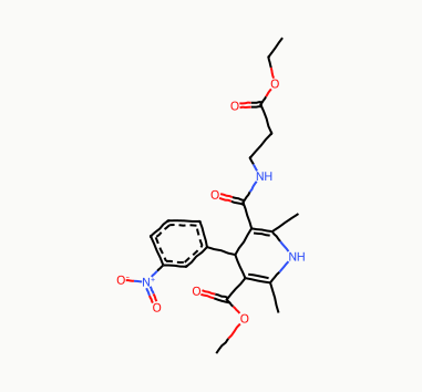 CCOC(=O)CCNC(=O)C1=C(C)NC(C)=C(C(=O)OC)C1c1cccc([N+](=O)[O-])c1